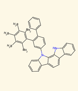 Bc1c(B)c(B)c(-c2cc(-n3c4ccccc4c4ccc5c6ccccc6[nH]c5c43)ccc2-c2ccccc2)c(B)c1B